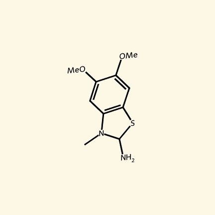 COc1cc2c(cc1OC)N(C)C(N)S2